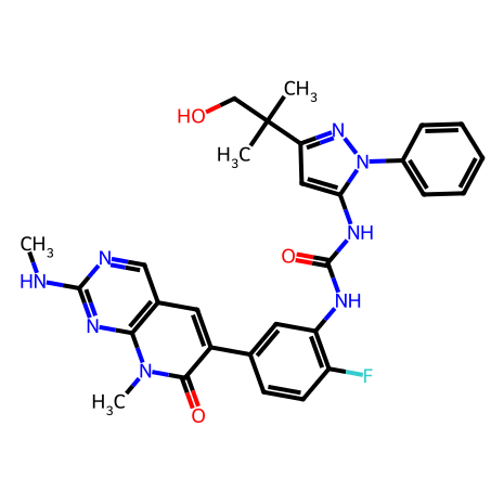 CNc1ncc2cc(-c3ccc(F)c(NC(=O)Nc4cc(C(C)(C)CO)nn4-c4ccccc4)c3)c(=O)n(C)c2n1